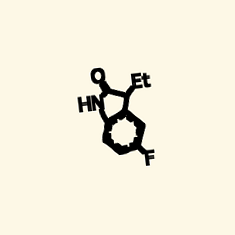 CCC1C(=O)Nc2ccc(F)cc21